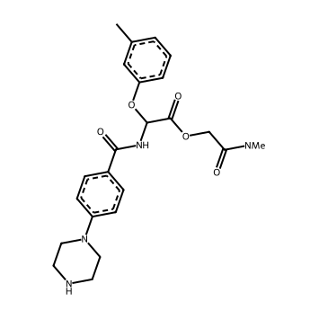 CNC(=O)COC(=O)C(NC(=O)c1ccc(N2CCNCC2)cc1)Oc1cccc(C)c1